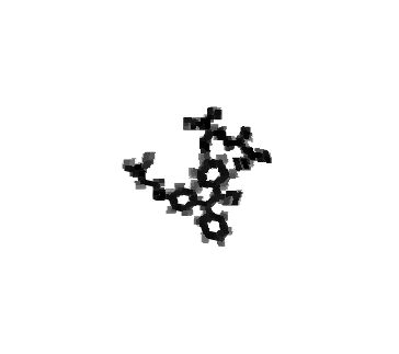 CC/C(=C(\c1ccccc1)c1ccc(OCCN(C)C)cc1)c1ccccc1.CCN(CC)C(=S)SSC(=S)N(CC)CC